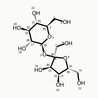 OC[C@H]1O[C@@H](O[C@@]2(CO)O[C@H](CO)[C@@H](O)[C@H]2O)[C@H](O)[C@@H](O)[C@@H]1O